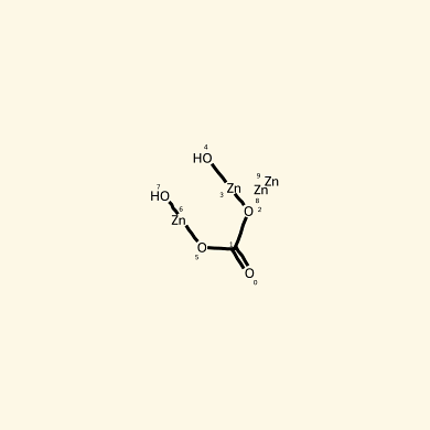 O=C([O][Zn][OH])[O][Zn][OH].[Zn].[Zn]